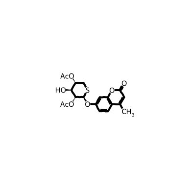 CC(=O)O[C@@H]1[C@@H](O)[C@H](OC(C)=O)CS[C@H]1Oc1ccc2c(C)cc(=O)oc2c1